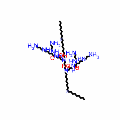 CCCCCCCC/C=C\CCCCCCCCN(CCCCN(CCCCCCCC/C=C/CCCCCCCC)CC(O)CNC(=O)C(CCCNCCCN)NCCCN)CC(O)CNC(=O)C(CCCNCCCN)NCCCN